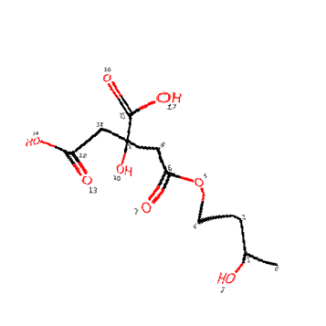 CC(O)CCOC(=O)CC(O)(CC(=O)O)C(=O)O